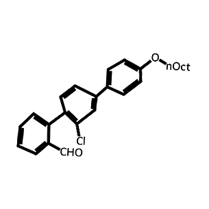 CCCCCCCCOc1ccc(-c2ccc(-c3ccccc3C=O)c(Cl)c2)cc1